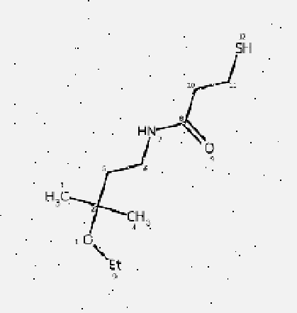 CCOC(C)(C)CCNC(=O)CCS